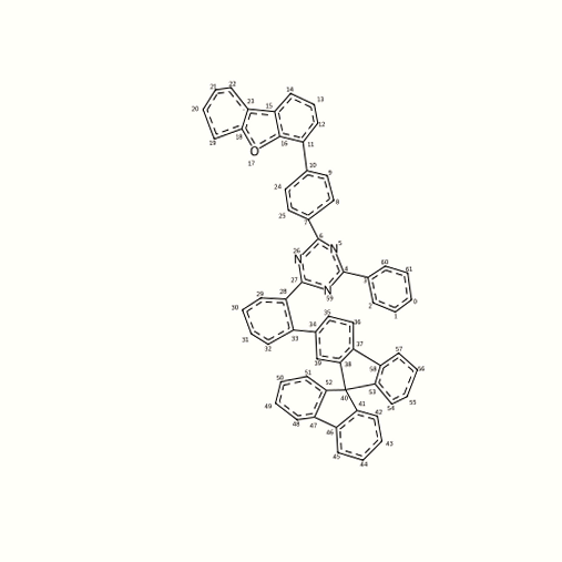 c1ccc(-c2nc(-c3ccc(-c4cccc5c4oc4ccccc45)cc3)nc(-c3ccccc3-c3ccc4c(c3)C3(c5ccccc5-c5ccccc53)c3ccccc3-4)n2)cc1